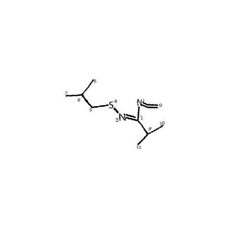 C=N/C(=N\SCC(C)C)C(C)C